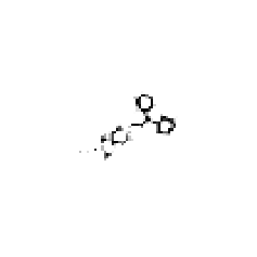 C=C1N(CCCC)C(=O)OC12CCN(CC=C(c1ccccc1)c1ccccc1)CC2